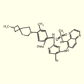 COc1cc(N2CCC3(CC2)CN(C)C3)c(C)cc1Nc1ncc(Br)c(Nc2ccc3nccnc3c2NS(C)(=O)=O)n1